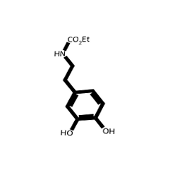 CCOC(=O)NCCc1ccc(O)c(O)c1